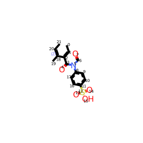 CC=C(C(=O)N(C=O)c1ccc(S(=O)(=O)O)cc1)/C(C)=C\C